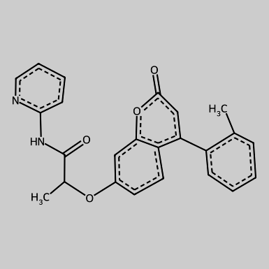 Cc1ccccc1-c1cc(=O)oc2cc(OC(C)C(=O)Nc3ccccn3)ccc12